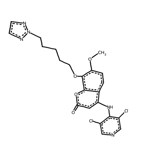 COc1ccc2c(Nc3c(Cl)cncc3Cl)cc(=O)oc2c1OCCCCCn1nccn1